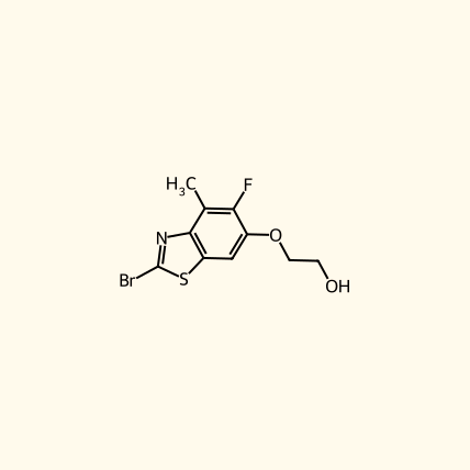 Cc1c(F)c(OCCO)cc2sc(Br)nc12